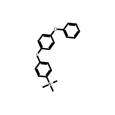 C[N+](C)(C)c1ccc([I+]c2ccc(Oc3ccccc3)cc2)cc1